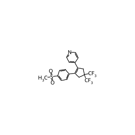 CS(=O)(=O)c1ccc(C2=C(c3ccncc3)CC(C(F)(F)F)(C(F)(F)F)C2)cc1